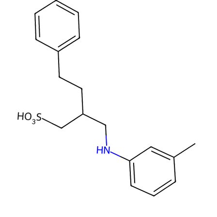 Cc1cccc(NCC(CCc2ccccc2)CS(=O)(=O)O)c1